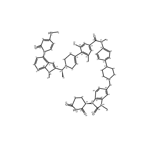 CNc1ccn(-c2ccnc3c2cc([C@H](C)N2CC=C(c4c(C)cc(C(=O)N(C)c5ccc(C6CCN(Cc7ccc8c(c7)n(C)c(=O)n8[C@@H]7CCC(=O)NC7=O)CC6)cc5)cc4F)CC2)n3C)c(=O)c1